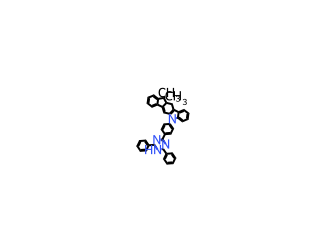 CC1(C)c2ccccc2C2=Cc3c(c4ccccc4n3-c3ccc(C4=NC(c5ccccc5)NC(c5ccccc5)=N4)cc3)CC21